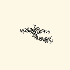 COC(=O)NC(C(=O)N1C[C@H](OC(=O)N2Cc3ccc4c(c3C2)OCO4)C[C@H]1c1nc(-c2ccc(B3OC(C)(C)C(C)(C)O3)cc2)c[nH]1)C(C)C